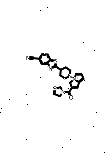 N#Cc1ccc2sc(C3CCN([N@@+]45C=CC=C4C=C(C(=O)N4CCSC4)C5)CC3)nc2c1